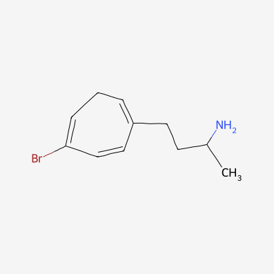 CC(N)CCC1=CCC=C(Br)C=C1